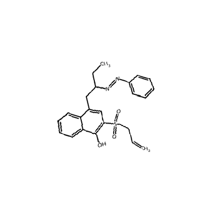 C=CCS(=O)(=O)c1cc(CC(CC)N=Nc2ccccc2)c2ccccc2c1O